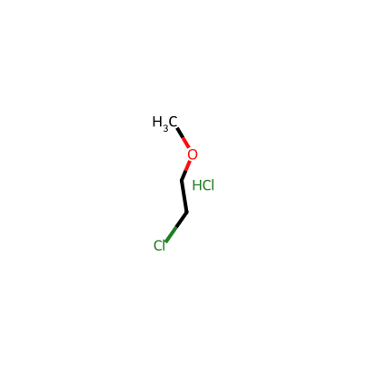 COCCCl.Cl